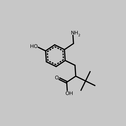 CC(C)(C)C(Cc1ccc(O)cc1CN)C(=O)O